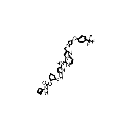 O=C(NC12CC(C1)C2)O[C@@H]1CC[C@H](c2cc(Nc3nccc4nc(CN5CC(Oc6ccc(C(F)(F)F)cc6)C5)cn34)n[nH]2)[C@H]1F